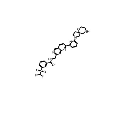 O=C(NCc1cc2nc(-c3ccnc(N4CCC5(CNCCO5)C4)n3)ccc2cn1)c1cccc(S(=O)(=O)C(F)F)c1